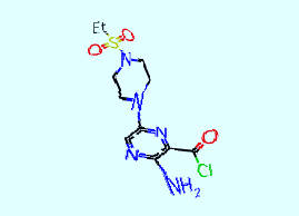 CCS(=O)(=O)N1CCN(c2cnc(N)c(C(=O)Cl)n2)CC1